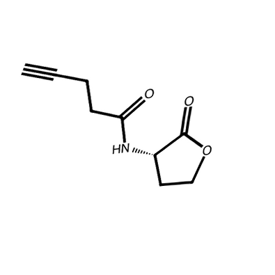 C#CCCC(=O)N[C@H]1CCOC1=O